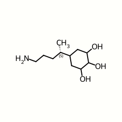 C[C@@H](CCCN)C1CC(O)C(O)C(O)C1